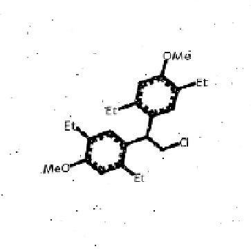 CCc1cc(C(CCl)c2cc(CC)c(OC)cc2CC)c(CC)cc1OC